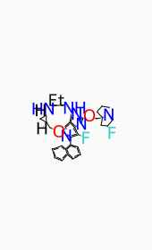 CC[C@@H]1CNc2nc(OC[C@@]34CCCN3C[C@H](F)C4)nc3c(F)c(-c4cccc5ccccc45)nc(c23)OC[C@H]2C[C@@H]2N1